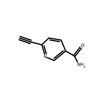 C#Cc1ccc(C(N)=O)cn1